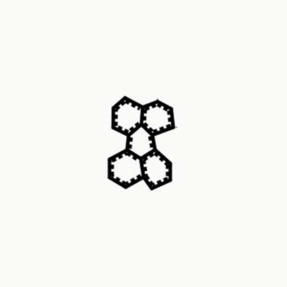 [c]1c[c]c2c3cccc4cccc(c5cccc1c25)c43